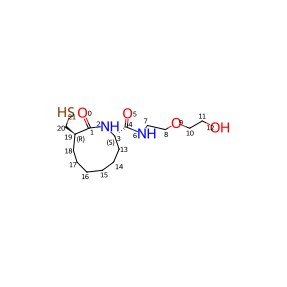 O=C1N[C@H](C(=O)NCCOCCO)CCCCCC[C@H]1CS